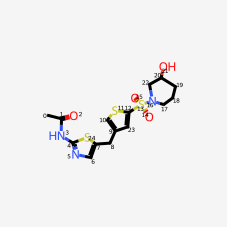 CC(=O)Nc1ncc(Cc2csc(S(=O)(=O)N3CCCC(O)C3)c2)s1